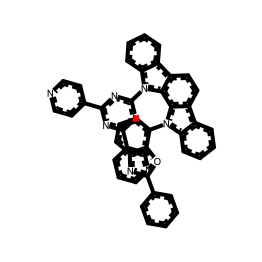 c1ccc(-c2nc3cccc(-n4c5ccccc5c5ccc6c7ccccc7n(-c7nc(-c8ccncc8)nc(-c8cccnc8)n7)c6c54)c3o2)cc1